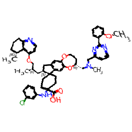 COc1ccccc1-c1nccc(CN(C)C[C@H]2CCOc3cc4c(cc3O2)C2(CCC(Nc3cccc(Cl)c3)(C(=O)O)CC2)[C@@H](C[C@@H](C)COc2ccnc3c2[C@H](C)CCC3)C4)n1